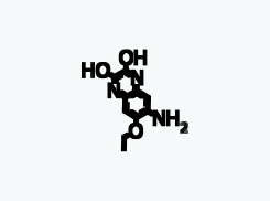 CCOc1cc2nc(O)c(O)nc2cc1N